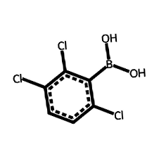 OB(O)c1c(Cl)ccc(Cl)c1Cl